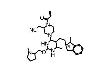 C=CC(=O)N1CCN(C2NC(OCC3CCCN3C)NC3C[C@@]4(CCC32)Cc2ccccc2C4C)CC1CC#N